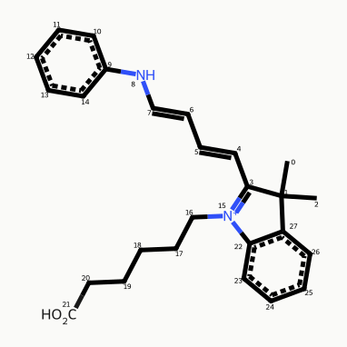 CC1(C)C(/C=C/C=C/Nc2ccccc2)=[N+](CCCCCC(=O)O)c2ccccc21